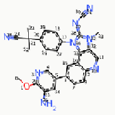 COc1ncc(-c2ccc3ncc4c(c3c2)n(-c2ccc(C(C)(C)C#N)cc2)c(=NC#N)n4C)cc1N